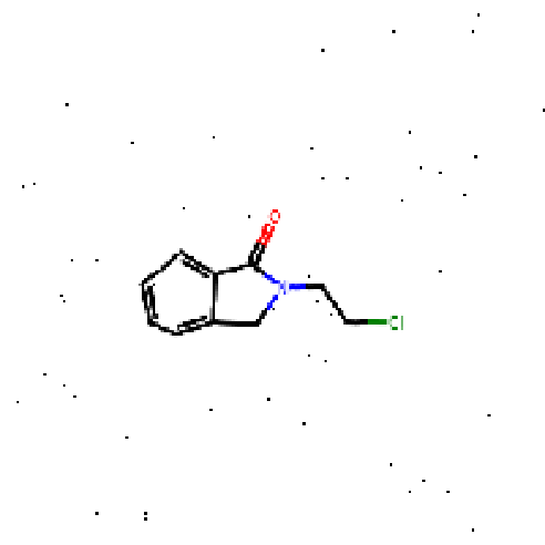 O=C1c2ccccc2CN1CCCl